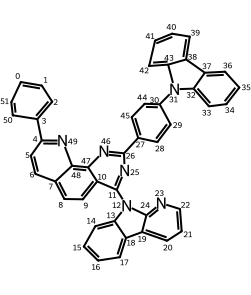 c1ccc(-c2ccc3ccc4c(-n5c6ccccc6c6cccnc65)nc(-c5ccc(-n6c7ccccc7c7ccccc76)cc5)nc4c3n2)cc1